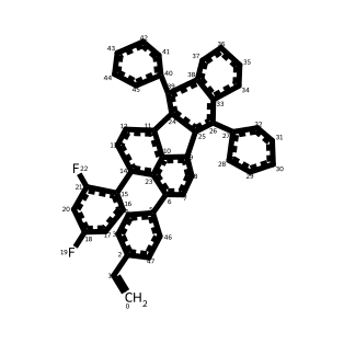 C=Cc1ccc(-c2ccc3c4c(ccc(-c5ccc(F)cc5F)c24)-c2c-3c(-c3ccccc3)c3ccccc3c2-c2ccccc2)cc1